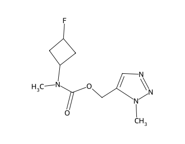 CN(C(=O)OCc1cnnn1C)C1CC(F)C1